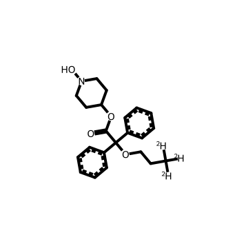 [2H]C([2H])([2H])CCOC(C(=O)OC1CCN(O)CC1)(c1ccccc1)c1ccccc1